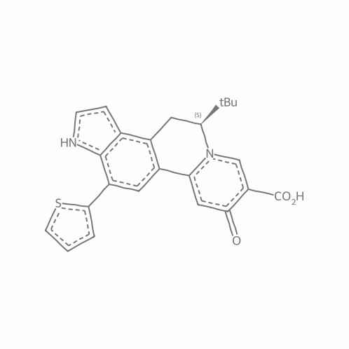 CC(C)(C)[C@@H]1Cc2c(cc(-c3cccs3)c3[nH]ccc23)-c2cc(=O)c(C(=O)O)cn21